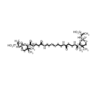 C[C@H](NP1(=O)OCC(C)(C)[C@H](C(=O)NCCC(=O)NCCSSCCNC(=O)CCNC(=O)[C@@H]2OP(=O)(N[C@@H](C)C(=O)O)OCC2(C)C)O1)C(=O)O